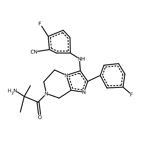 [C-]#[N+]c1cc(Nc2c(-c3cccc(F)c3)nc3n2CCN(C(=O)C(C)(C)N)C3)ccc1F